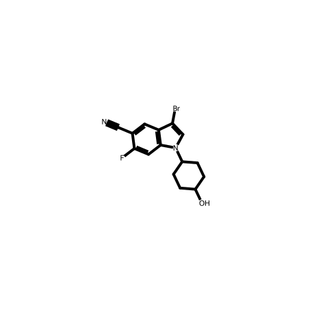 N#Cc1cc2c(Br)cn(C3CCC(O)CC3)c2cc1F